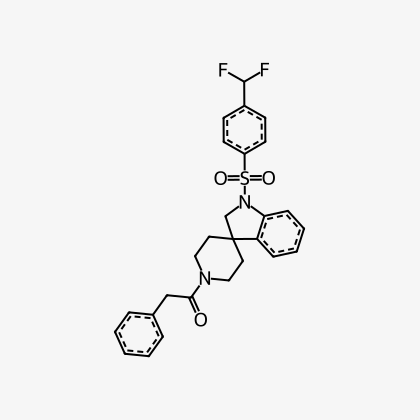 O=C(Cc1ccccc1)N1CCC2(CC1)CN(S(=O)(=O)c1ccc(C(F)F)cc1)c1ccccc12